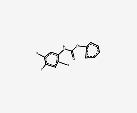 O=C(Nc1cc(F)c(F)cc1F)Oc1ccccc1